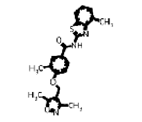 Cc1cc(C(=O)Nc2nc3c(C)cccc3s2)ccc1OCc1c(C)noc1C